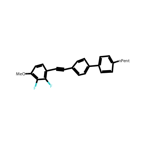 CCCCCc1ccc(-c2ccc(C#Cc3ccc(OC)c(F)c3F)cc2)cc1